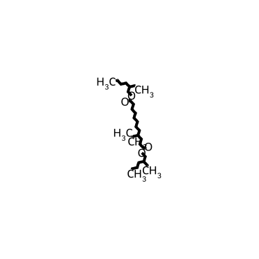 CCCCC(CC)COC(=O)CCCCCCCC(CCC(=O)OCC(CC)CCCC)C(C)C